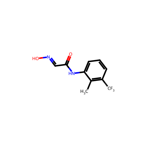 Cc1c(NC(=O)C=NO)cccc1C(F)(F)F